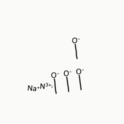 C[O-].C[O-].C[O-].C[O-].[N+3].[Na+]